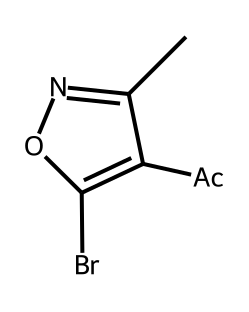 CC(=O)c1c(C)noc1Br